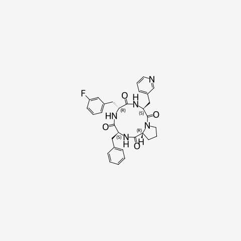 O=C1N[C@H](Cc2cccc(F)c2)C(=O)N[C@@H](Cc2cccnc2)C(=O)N2CCC[C@@H]2C(=O)N[C@H]1Cc1ccccc1